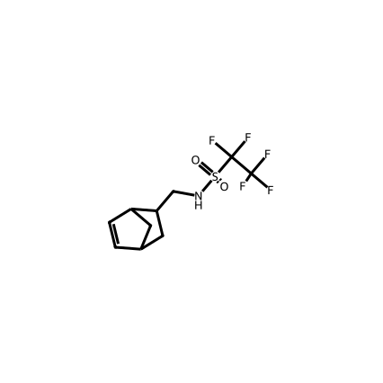 O=S(=O)(NCC1CC2C=CC1C2)C(F)(F)C(F)(F)F